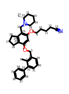 Cc1c(COc2cc(OCCCCC#N)c(CN3CCCC[C@H]3C)c3c2CCC3)cccc1-c1ccccc1